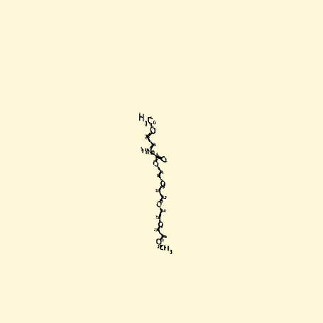 COCCNC(=O)OCCOCCOCCOCCOC